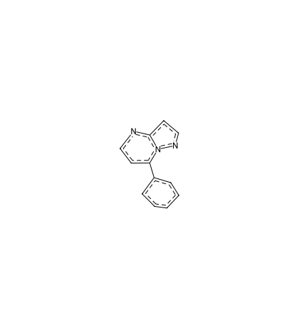 c1ccc(-c2ccnc3ccnn23)cc1